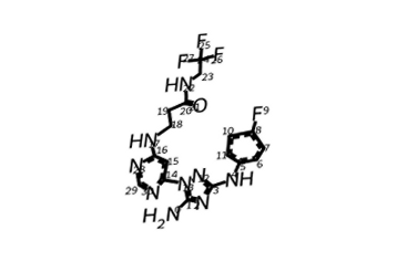 Nc1nc(Nc2ccc(F)cc2)nn1-c1cc(NCCC(=O)NCC(F)(F)F)ncn1